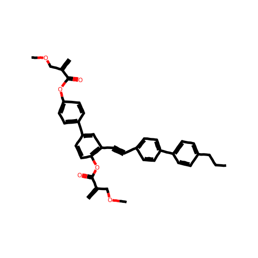 C=C(COC)C(=O)Oc1ccc(-c2ccc(OC(=O)C(=C)COC)c(C#Cc3ccc(-c4ccc(CCC)cc4)cc3)c2)cc1